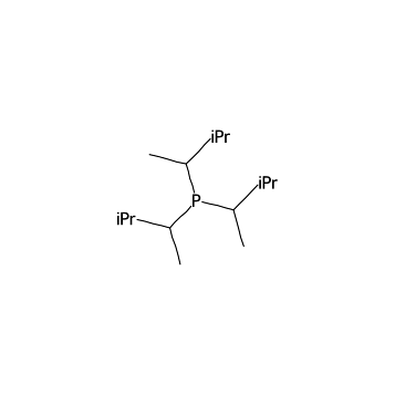 CC(C)C(C)P(C(C)C(C)C)C(C)C(C)C